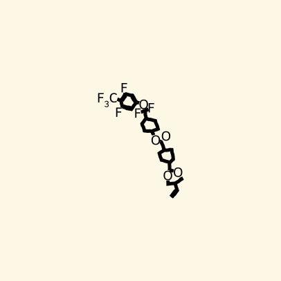 C=CC1COC(C2CCC(C(=O)OC3CCC(C(F)(F)Oc4cc(F)c(C(F)(F)F)c(F)c4)CC3)CC2)OC1